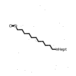 CCCCCCCCCCCCCCCCCC[Si]=O